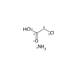 N.O=C(O)CCl